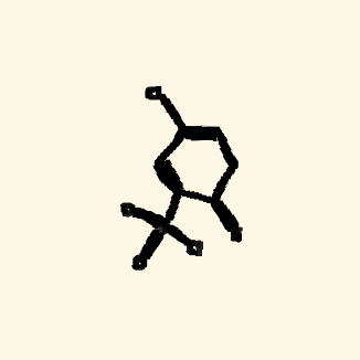 O=S(=O)(Cl)C1=CC(Cl)=CCC1=S